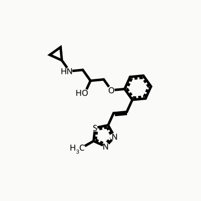 Cc1nnc(C=Cc2ccccc2OCC(O)CNC2CC2)s1